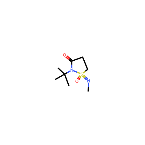 CN=S1(=O)CCC(=O)N1C(C)(C)C